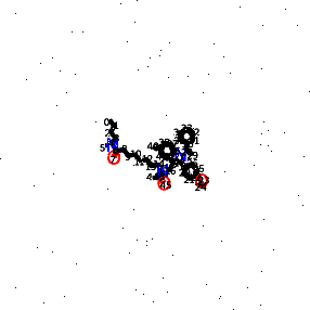 CCCCN(C)C(=O)CCCCCCCN(Cc1c(-c2ccc(OC)cc2)n(C(C)c2ccccc2)c2ccc(C)cc12)C(C)=O